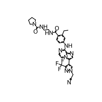 CCc1cc(Nc2nccn3c(-c4cn(CC#N)nc4C(F)(F)F)cnc23)ccc1C(=O)NCCNC(=O)N1CCCC1